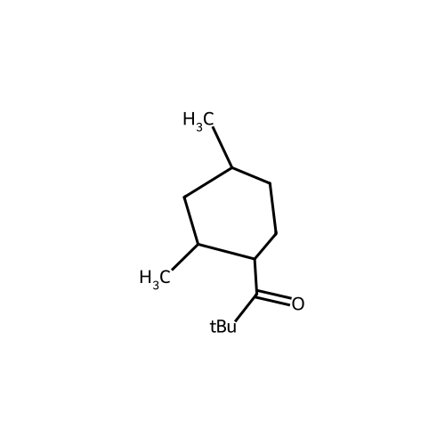 CC1CCC(C(=O)C(C)(C)C)C(C)C1